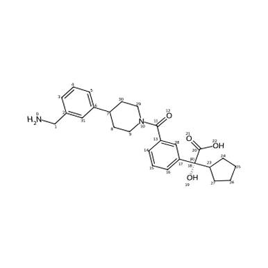 NCc1cccc(C2CCN(C(=O)c3cccc([C@@](O)(C(=O)O)C4CCCC4)c3)CC2)c1